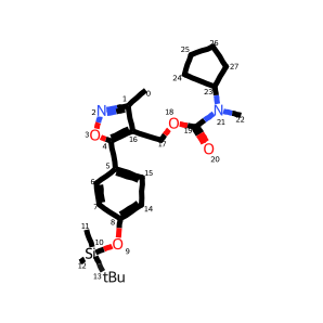 Cc1noc(-c2ccc(O[Si](C)(C)C(C)(C)C)cc2)c1COC(=O)N(C)C1CCCC1